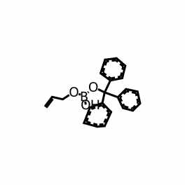 C=CCOB(O)OC(c1ccccc1)(c1ccccc1)c1ccccc1